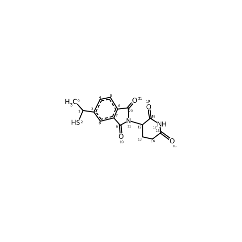 CC(S)c1ccc2c(c1)C(=O)N(C1CCC(=O)NC1=O)C2=O